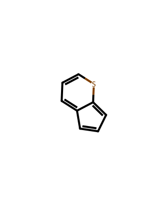 c1csc2cccc-2c1